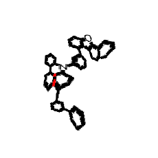 c1ccc(-c2cccc(-c3ccc(N(c4cccc(-c5cccc6oc7c8ccccc8ccc7c56)c4)c4ccccc4-c4ccccc4)cc3)c2)cc1